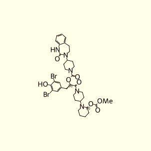 COC(=O)O[C@@H]1CCCCN1C1CCN(C(=O)[C@@H](Cc2cc(Br)c(O)c(Br)c2)OC(=O)N2CCC(N3CCc4ccccc4NC3=O)CC2)CC1